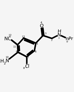 CCCNCC(=O)c1cc(Cl)c(N)c(C#N)c1